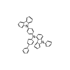 c1ccc(-c2ccc(N(c3ccc(-n4c5ccccc5c5ccccc54)cc3)c3cccc4c3c3ccccc3n4-c3ccccc3)cc2)cc1